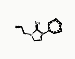 C=CCN1CCN(c2ccccc2)C1=N